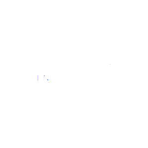 CCC(CCCCN)C(C)=O